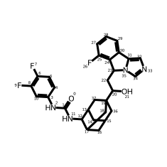 O=C(Nc1ccc(F)c(F)c1)NC1C2CC3CC1CC(C(O)CC1c4c(F)cccc4-c4cncn41)(C3)C2